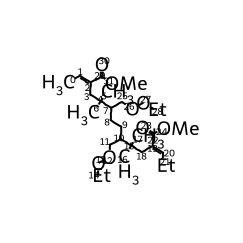 C/C=C(\CC(C)(C)C(CCC(COOCC)C(C)(C)C/C(=C\CC)C(=O)OC)COOCC)C(=O)OC